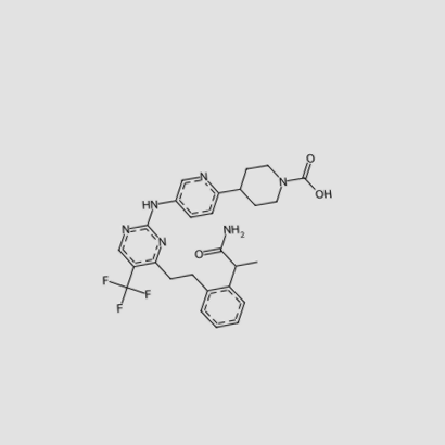 CC(C(N)=O)c1ccccc1CCc1nc(Nc2ccc(C3CCN(C(=O)O)CC3)nc2)ncc1C(F)(F)F